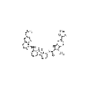 C=Cc1cnc2c(Nc3cccc(-c4cccc(NC(=O)c5nc6c(n5C)CCN(C(=O)OC(C)(C)C)C6)c4Cl)c3C)nccc2c1